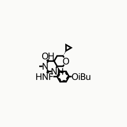 CC(C)COc1ccc(F)c([C@]23CO[C@@H](C4CC4)C[C@H]2C(=O)N(C)C(=N)N3)c1